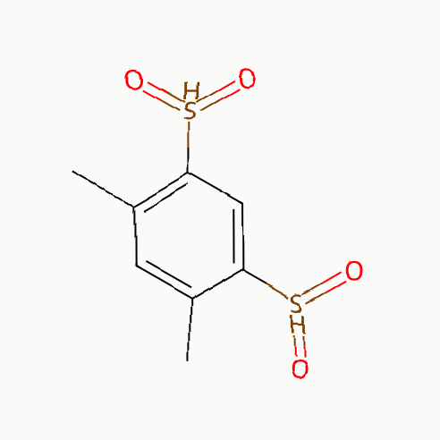 Cc1cc(C)c([SH](=O)=O)cc1[SH](=O)=O